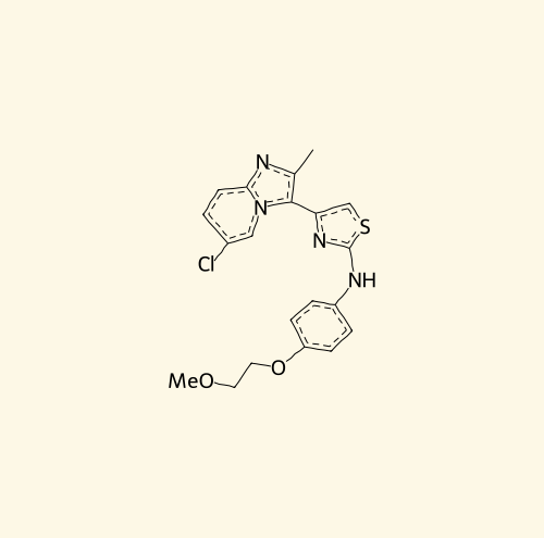 COCCOc1ccc(Nc2nc(-c3c(C)nc4ccc(Cl)cn34)cs2)cc1